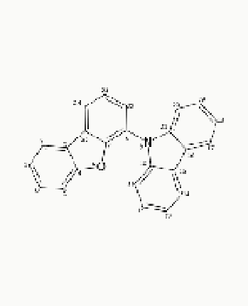 c1ccc2c(c1)oc1c(-n3c4ccccc4c4ccccc43)cccc12